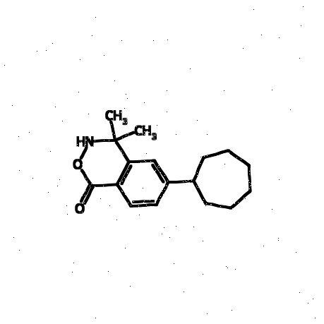 CC1(C)NOC(=O)c2ccc(C3CCCCCC3)cc21